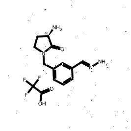 NN=Cc1cccc(CN2CC[C@@H](N)C2=O)c1.O=C(O)C(F)(F)F